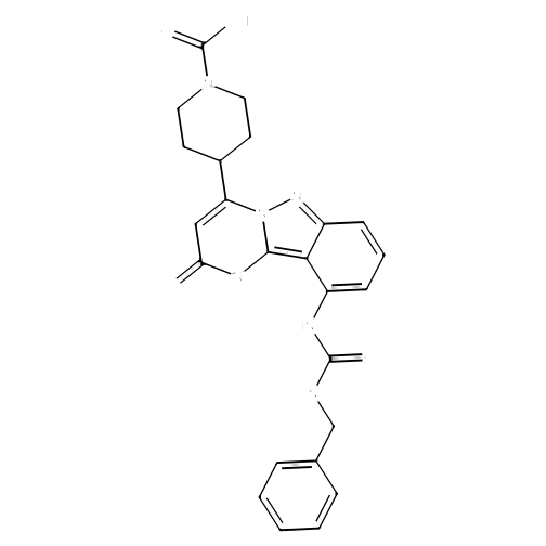 O=C(NCc1ccccc1)Nc1cccc2nn3c(C4CCN(C(=O)O)CC4)cc(=O)[nH]c3c12